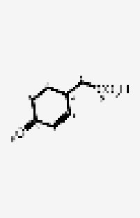 O=C(O)CC1C=CC(=O)CC1